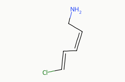 NC/C=C\C=CCl